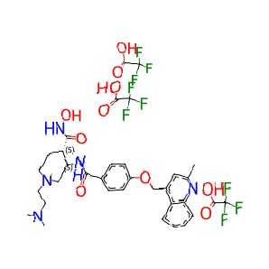 Cc1cc(COc2ccc(C(=O)N[C@@H]3CN(CCN(C)C)CC[C@@H]3C(=O)NO)cc2)c2ccccc2n1.O=C(O)C(F)(F)F.O=C(O)C(F)(F)F.O=C(O)C(F)(F)F